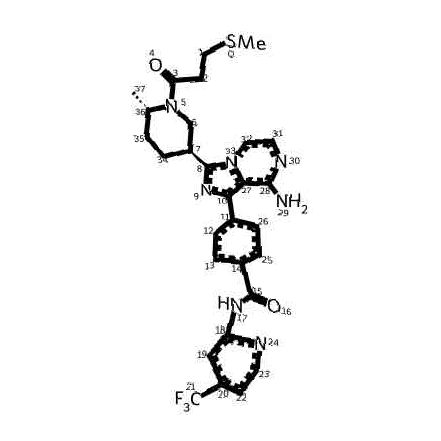 CSCCC(=O)N1C[C@@H](c2nc(-c3ccc(C(=O)Nc4cc(C(F)(F)F)ccn4)cc3)c3c(N)nccn23)CC[C@@H]1C